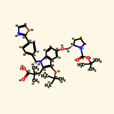 CC(C)(C)OC(=O)N1CCC[C@H]1COc1ccc2c(c1)c(SC(C)(C)C)c(CC(C)(C)C(=O)O)n2Cc1ccc(-c2nccs2)cc1